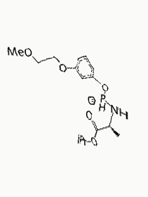 COCCOc1cccc(O[PH](=O)N[C@@H](C)C(=O)OC(C)C)c1